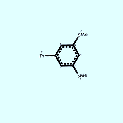 CSc1cc(SC)cc(C(C)C)c1